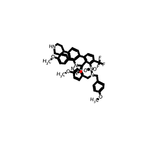 COc1ccc(CN(Cc2ccc(OC)cc2)S(=O)(=O)c2c(C(F)(F)F)ccc(-c3ccc(C4CCNCC4)cc3)c2-c2nnnn2Cc2ccc(OC)cc2)cc1